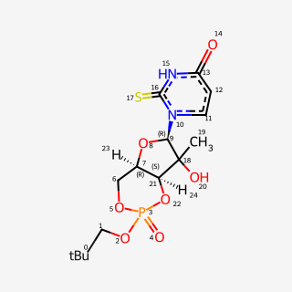 CC(C)(C)COP1(=O)OC[C@H]2O[C@@H](n3ccc(=O)[nH]c3=S)C(C)(O)[C@H]2O1